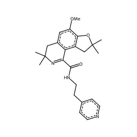 COc1cc2c(c3c1OC(C)(C)C3)C(C(=O)NCCc1ccncc1)=NC(C)(C)C2